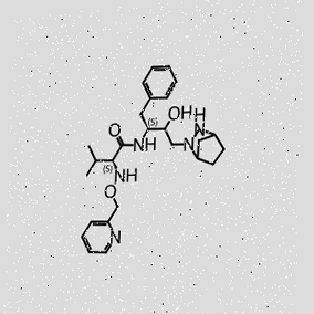 CC(C)[C@H](NOCc1ccccn1)C(=O)N[C@@H](Cc1ccccc1)C(O)CN1NC2CCC1C2